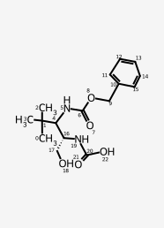 CC(C)(C)C(NC(=O)OCc1ccccc1)[C@@H](CO)NC(=O)O